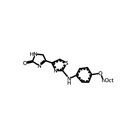 CCCCCCCCOc1ccc(Nc2nc(C3=NC(=O)NC3)cs2)cc1